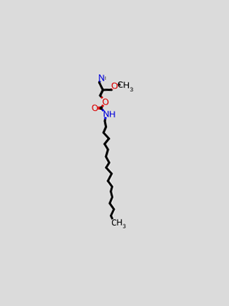 CCCCCCCCCCCCCCCCCCNC(=O)OCC(C[N])COC